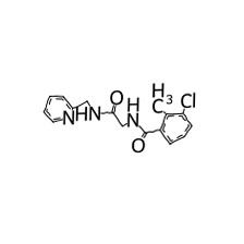 Cc1c(Cl)cccc1C(=O)NCC(=O)NCc1ccccn1